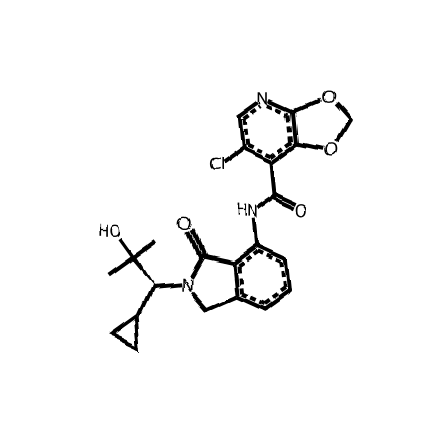 CC(C)(O)[C@H](C1CC1)N1Cc2cccc(NC(=O)c3c(Cl)cnc4c3OCO4)c2C1=O